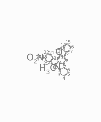 Cn1c2ccccc2c2cc3c(oc4ccccc43)c(-c3ccc([N+](=O)[O-])cc3)c21